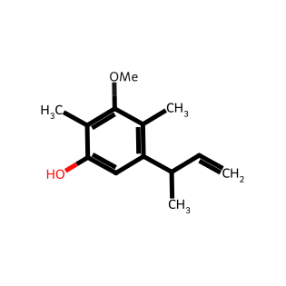 C=CC(C)c1cc(O)c(C)c(OC)c1C